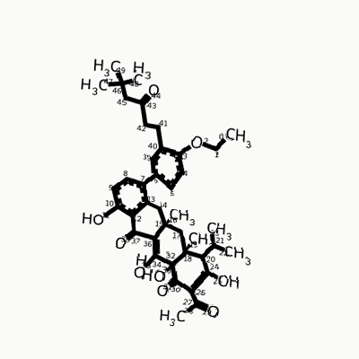 CCOc1ccc(-c2ccc(O)c3c2C[C@]2(C)C[C@]4(C)C(C(C)C)C(O)=C(C(C)=O)C(=O)[C@]4(O)C(O)=C2C3=O)cc1CCC(=O)CC(C)(C)C